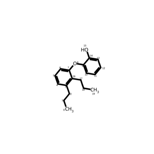 CCCc1cccc(Oc2ccccc2O)c1CCC